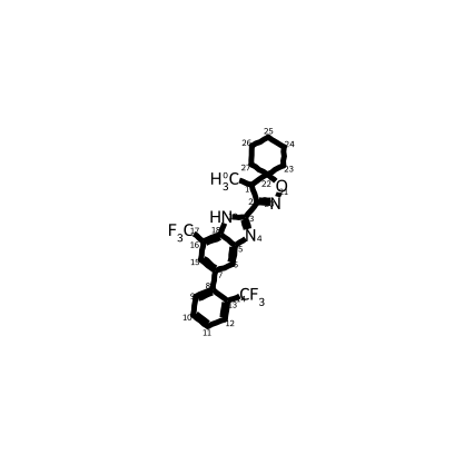 CC1C(c2nc3cc(-c4ccccc4C(F)(F)F)cc(C(F)(F)F)c3[nH]2)=NOC12CCCCC2